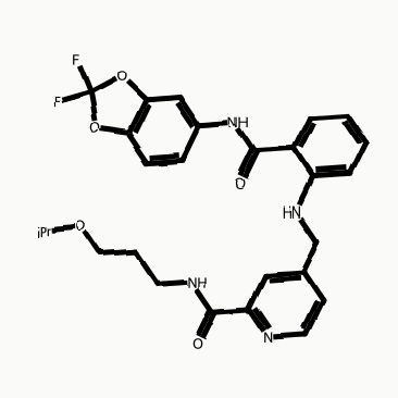 CC(C)OCCCNC(=O)c1cc(CNc2ccccc2C(=O)Nc2ccc3c(c2)OC(F)(F)O3)ccn1